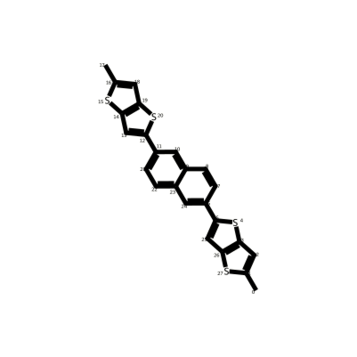 Cc1cc2sc(-c3ccc4cc(-c5cc6sc(C)cc6s5)ccc4c3)cc2s1